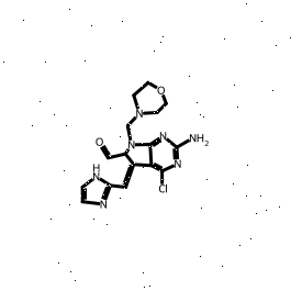 Nc1nc(Cl)c2c(n1)N(CN1CCOCC1)C(C=O)/C2=C\c1ncc[nH]1